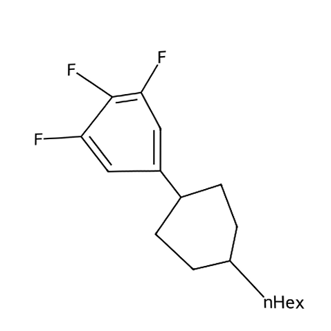 CCCCCCC1CCC(c2cc(F)c(F)c(F)c2)CC1